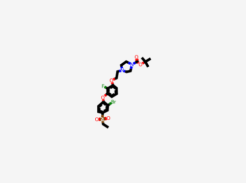 CCS(=O)(=O)c1ccc(Oc2cccc(OCCN3CCN(C(=O)OC(C)(C)C)CC3)c2F)c(Br)c1